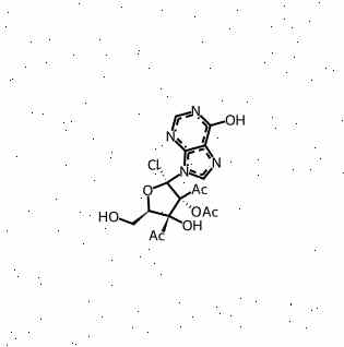 CC(=O)O[C@]1(C(C)=O)[C@@](O)(C(C)=O)[C@@H](CO)O[C@@]1(Cl)n1cnc2c(O)ncnc21